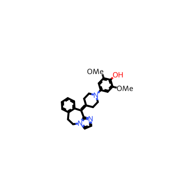 COc1cc(N2CCC(=C3c4ccccc4CCn4ccnc43)CC2)cc(OC)c1O